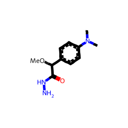 COC(C(=O)NN)c1ccc(N(C)C)cc1